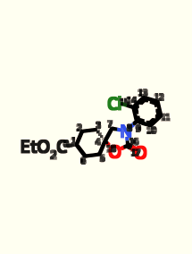 CCOC(=O)[C@H]1CC[C@]2(CC1)CN(c1ccccc1Cl)C(=O)O2